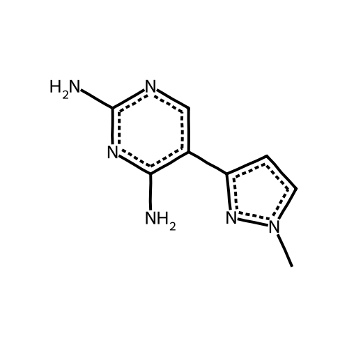 Cn1ccc(-c2cnc(N)nc2N)n1